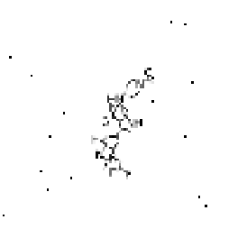 COc1nc(NC2CCN(C(C)=O)CC2)nc2[nH]cc(-c3cc(F)c4nc(C)n(CC(F)F)c4c3)c12